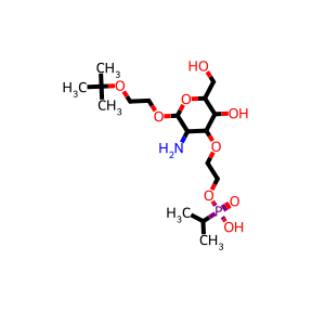 CC(C)P(=O)(O)OCCOC1C(N)C(OCCOC(C)(C)C)OC(CO)C1O